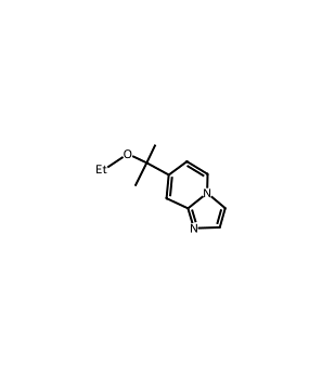 CCOC(C)(C)c1ccn2ccnc2c1